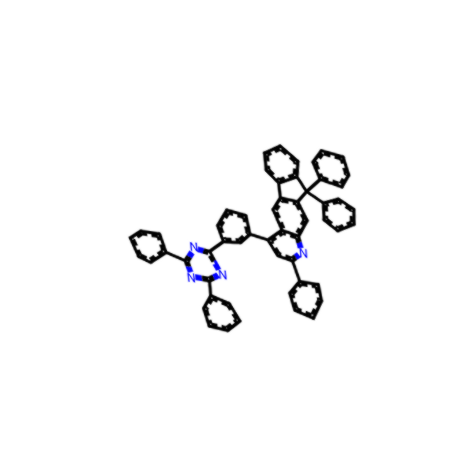 c1ccc(-c2cc(-c3cccc(-c4nc(-c5ccccc5)nc(-c5ccccc5)n4)c3)c3cc4c(cc3n2)C(c2ccccc2)(c2ccccc2)c2ccccc2-4)cc1